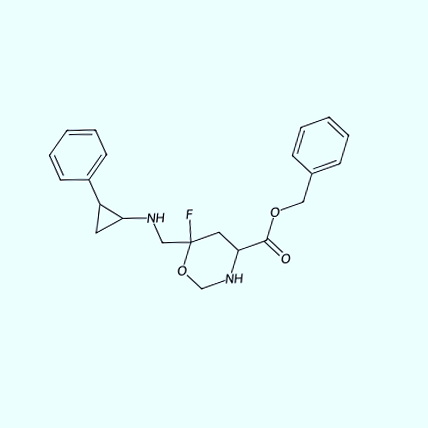 O=C(OCc1ccccc1)C1CC(F)(CNC2CC2c2ccccc2)OCN1